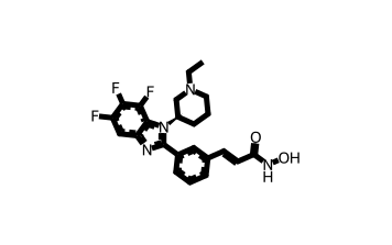 CCN1CCC[C@@H](n2c(-c3cccc(C=CC(=O)NO)c3)nc3cc(F)c(F)c(F)c32)C1